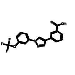 O=C(O)c1cccc(-c2cnn(-c3cccc(OC(F)(F)F)c3)c2)c1